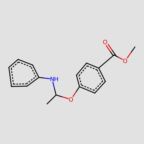 COC(=O)c1ccc(OC(C)Nc2ccccc2)cc1